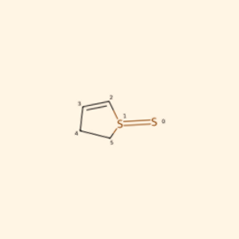 S=S1C=CCC1